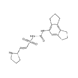 O=C(Nc1cc2c(c3c1CCC3)CCC2)NS(=O)(=O)/C=C/C1CCCN1